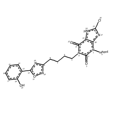 CCCCCn1c(=O)n(CCCCc2noc(-c3ccccc3O)n2)c(=O)c2[nH]c(Cl)nc21